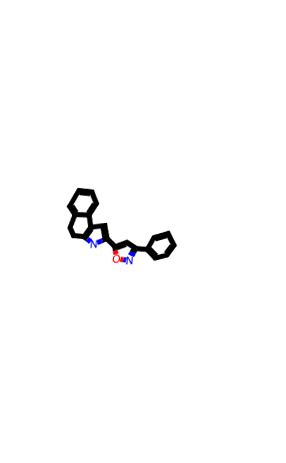 C1=C(c2cc(-c3ccccc3)no2)[N]C2=C1c1ccccc1CC2